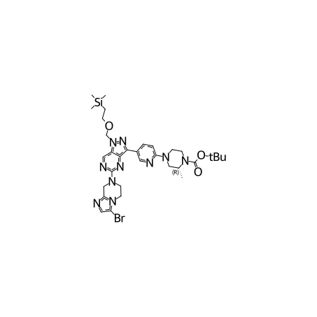 C[C@@H]1CN(c2ccc(-c3nn(COCC[Si](C)(C)C)c4cnc(N5CCn6c(Br)cnc6C5)nc34)cn2)CCN1C(=O)OC(C)(C)C